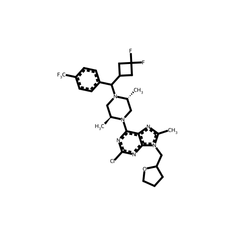 Cc1nc2c(N3C[C@@H](C)N(C(c4ccc(C(F)(F)F)cc4)C4CC(F)(F)C4)C[C@@H]3C)nc(Cl)nc2n1CC1CCCO1